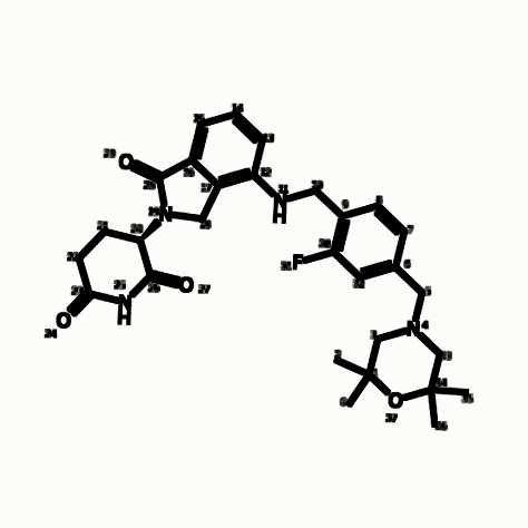 CC1(C)CN(Cc2ccc(CNc3cccc4c3CN([C@@H]3CCC(=O)NC3=O)C4=O)c(F)c2)CC(C)(C)O1